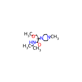 COC[C@H](C(=O)NC(C)C)N1CCN(C)CC1